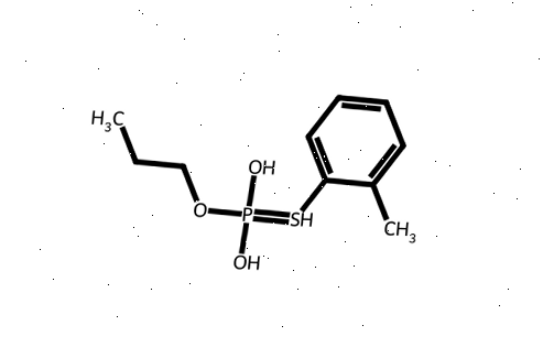 CCCOP(O)(O)=[SH]c1ccccc1C